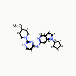 COC1CCN(c2nccc(Nc3cc4c(ccn4C4CCCC4)cn3)n2)CC1